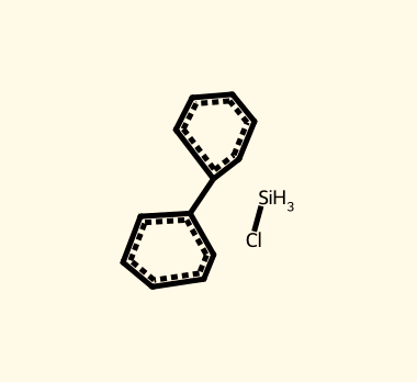 [SiH3]Cl.c1ccc(-c2ccccc2)cc1